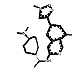 Cc1cc(-c2cn(C)nn2)cc2cc(NC(C)[C@H]3CC[C@H](N(C)C)CC3)ncc12